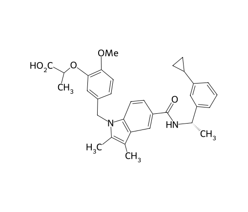 COc1ccc(Cn2c(C)c(C)c3cc(C(=O)N[C@@H](C)c4cccc(C5CC5)c4)ccc32)cc1OC(C)C(=O)O